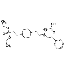 CCOP(=O)(CCN1CCN(CC[C@H](CSc2ccccc2)NC(=O)O)CC1)OCC